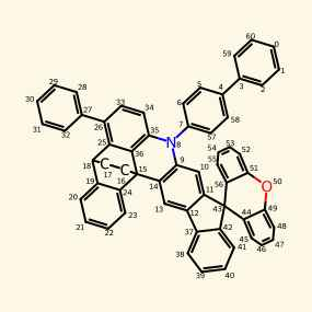 c1ccc(-c2ccc(N3c4cc5c(cc4C46CCC(c7ccccc74)c4c(-c7ccccc7)ccc3c46)-c3ccccc3C53c4ccccc4Oc4ccccc43)cc2)cc1